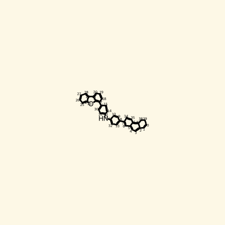 C1=Cc2ccc3cc(-c4ccc(Nc5ccc(-c6cccc7c6oc6ccccc67)cc5)cc4)ccc3c2CC1